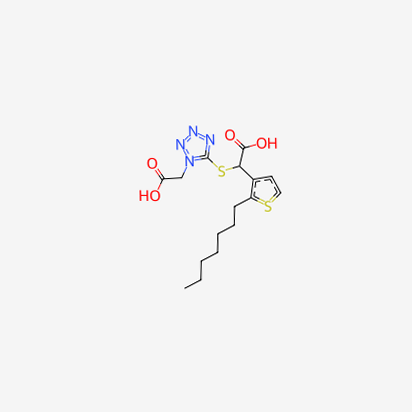 CCCCCCCc1sccc1C(Sc1nnnn1CC(=O)O)C(=O)O